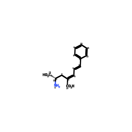 N[C@@H](CC(=CC=Cc1ccccc1)C(=O)O)C(=O)O